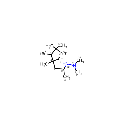 CCCC(C)(C)C(C(C)(C)C)C(C)(C)CC(C)NN(C)C